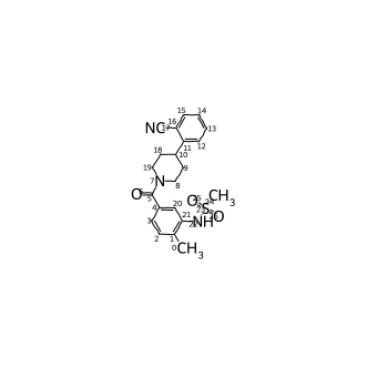 Cc1ccc(C(=O)N2CCC(c3ccccc3C#N)CC2)cc1NS(C)(=O)=O